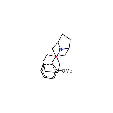 COc1ccccc1C1CC2CCC(C1)N2C1CCCCC1